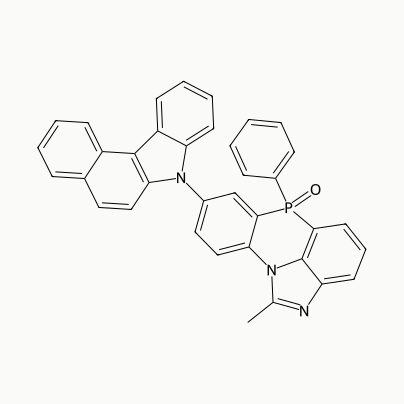 Cc1nc2cccc3c2n1-c1ccc(-n2c4ccccc4c4c5ccccc5ccc42)cc1P3(=O)c1ccccc1